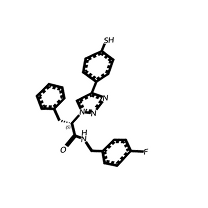 O=C(NCc1ccc(F)cc1)[C@H](Cc1ccccc1)n1cc(-c2ccc(S)cc2)nn1